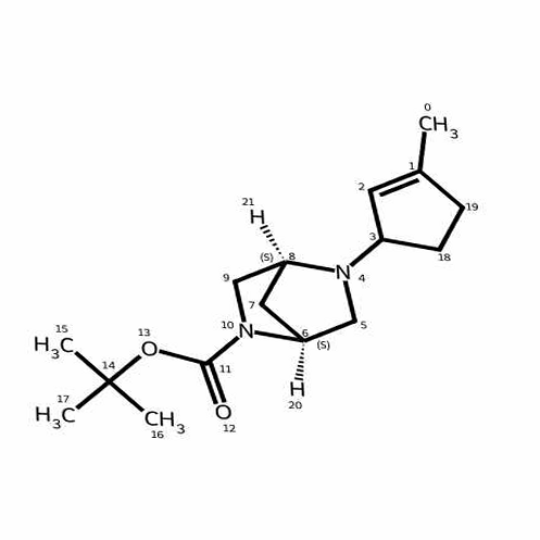 CC1=CC(N2C[C@@H]3C[C@H]2CN3C(=O)OC(C)(C)C)CC1